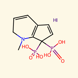 CN1CC=CC2=C1C(P(=O)(O)O)(P(=O)(O)O)C=C2.I